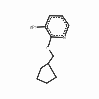 CCCc1cccnc1OCC1CCCC1